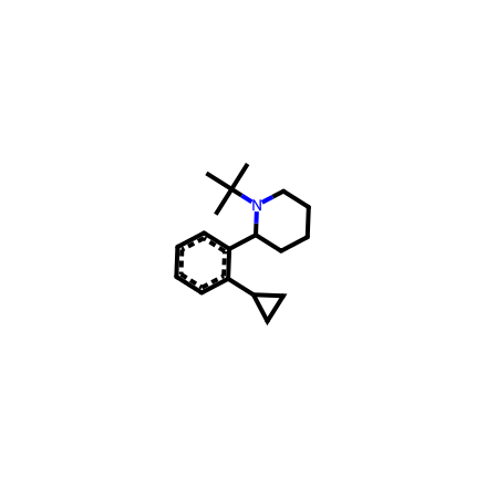 CC(C)(C)N1CCCCC1c1ccccc1C1CC1